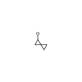 [O]C1CC12CC2